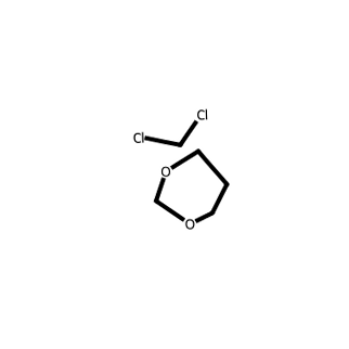 C1COCOC1.ClCCl